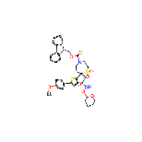 CCOc1ccc(-c2ccc(C3(CC(=O)NOC4CCCCO4)CCN(C(=O)OCC4c5ccccc5-c5ccccc54)CCS3(=O)=O)s2)cc1